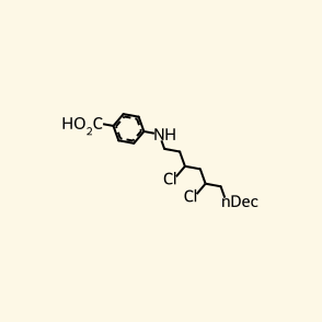 CCCCCCCCCCCC(Cl)CC(Cl)CCNc1ccc(C(=O)O)cc1